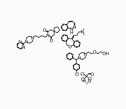 C1=Cc2ccccc2NN=C1.CN(C)CCC=C1c2ccccc2COc2ccccc21.O.O=C1CC2(CCCC2)CC(=O)N1CCCCN1CCN(c2ncccn2)CC1.O=CC(Cl)(Cl)Cl.OCCOCCN1CCN(C(c2ccccc2)c2ccc(Cl)cc2)CC1